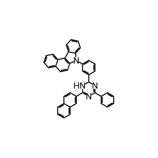 c1ccc(C2=NC(c3cccc(-n4c5ccccc5c5c6ccccc6ccc54)c3)NC(c3ccc4ccccc4c3)=N2)cc1